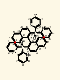 O=P(c1ccccn1)(c1ccccn1)c1ccc2ccccc2c1-c1c(P(=O)(c2ccccn2)c2ccccn2)ccc2ccccc12